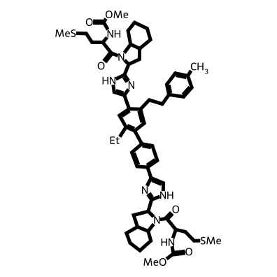 CCc1cc(-c2c[nH]c(C3CC4CCCCC4N3C(=O)C(CCSC)NC(=O)OC)n2)c(CCc2ccc(C)cc2)cc1-c1ccc(-c2c[nH]c(C3CC4CCCCC4N3C(=O)C(CCSC)NC(=O)OC)n2)cc1